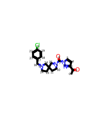 CC(=O)c1ccn(C(=O)N2CCC3(CCN(Cc4ccc(Cl)cc4)C3)C2)n1